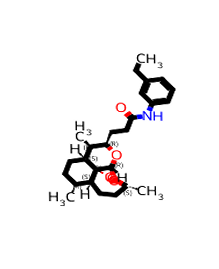 CCc1cccc(NC(=O)CC[C@H]2O[C@@H]3O[C@]4(C)CC[C@H]5[C@H](C)CC[C@@H]([C@H]2C)[C@@]35OO4)c1